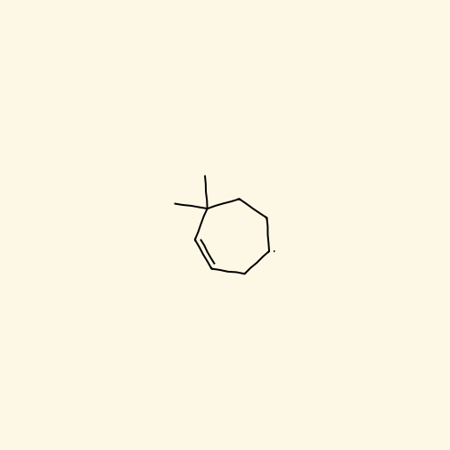 CC1(C)C=CC[CH]CC1